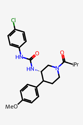 COc1ccc(C2CCN(C(=O)C(C)C)C[C@H]2NC(=O)Nc2ccc(Cl)cc2)cc1